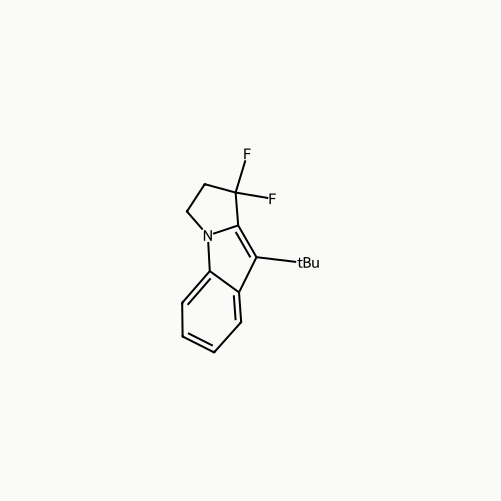 CC(C)(C)c1c2n(c3ccccc13)CCC2(F)F